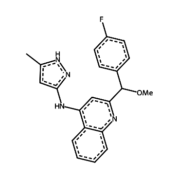 COC(c1ccc(F)cc1)c1cc(Nc2cc(C)[nH]n2)c2ccccc2n1